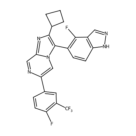 Fc1ccc(-c2cn3c(-c4ccc5[nH]ncc5c4F)c(C4CCC4)nc3cn2)cc1C(F)(F)F